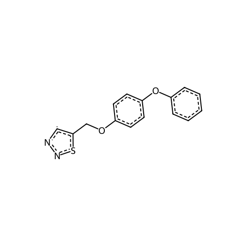 [c]1nnsc1COc1ccc(Oc2ccccc2)cc1